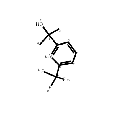 CC(C)(O)c1cccc(C(F)(F)F)n1